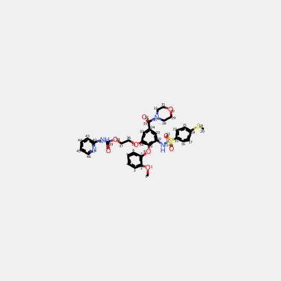 COc1ccccc1Oc1c(NS(=O)(=O)c2ccc(SC)cc2)cc(C(=O)N2CCOCC2)cc1OCCOC(=O)Nc1ccccn1